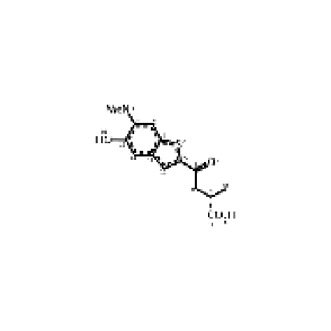 CNc1cc2sc(C(=O)C[C@H](C)C(=O)O)cc2cc1O